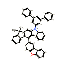 CC1(C)c2ccccc2-c2c1cc1c(c2C2=Cc3c(oc4ccccc34)CC2)c2ccccc2n1-c1cc(-c2ccccc2)cc(-c2ccccc2)c1